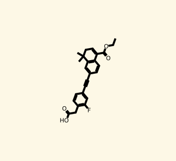 CCOC(=O)C1=CCC(C)(C)c2cc(C#Cc3ccc(CC(=O)O)c(F)c3)ccc21